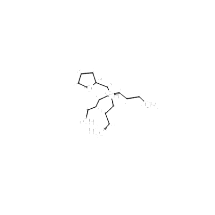 CCCC[PH](CCCC)(CCCC)CC1CCCO1